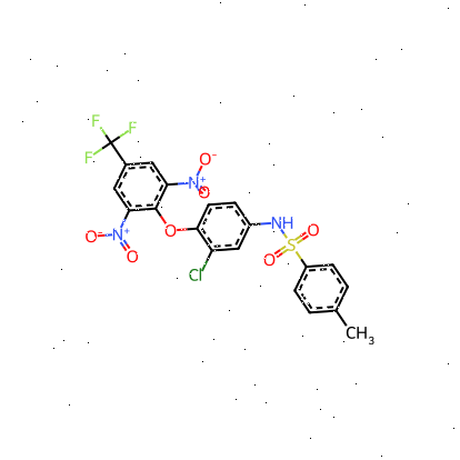 Cc1ccc(S(=O)(=O)Nc2ccc(Oc3c([N+](=O)[O-])cc(C(F)(F)F)cc3[N+](=O)[O-])c(Cl)c2)cc1